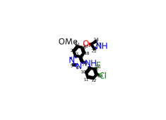 COc1cc2ncnc(Nc3cccc(Cl)c3F)c2cc1OC1CNC1